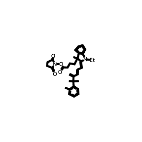 C=C(/C=C/C=C1/N(CC)c2ccccc2C1(C)CCCC(=O)ON1C(=O)CCC1=O)C(C)(C)c1ccccc1C